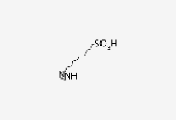 O=S(=O)(O)CCCCCCCCCc1ncc[nH]1